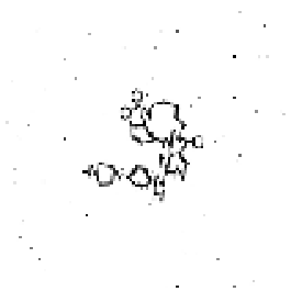 CN1CCN(c2ccc(Nc3ncc4c(=O)n5n(c4n3)-c3ccc4oc(=O)n(c4c3)CC/C=C/C5)cc2)CC1